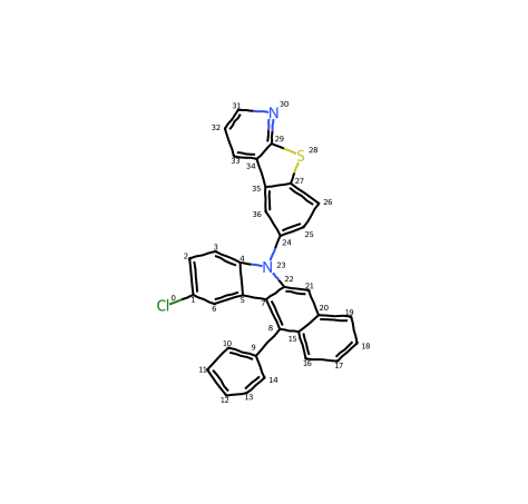 Clc1ccc2c(c1)c1c(-c3ccccc3)c3ccccc3cc1n2-c1ccc2sc3ncccc3c2c1